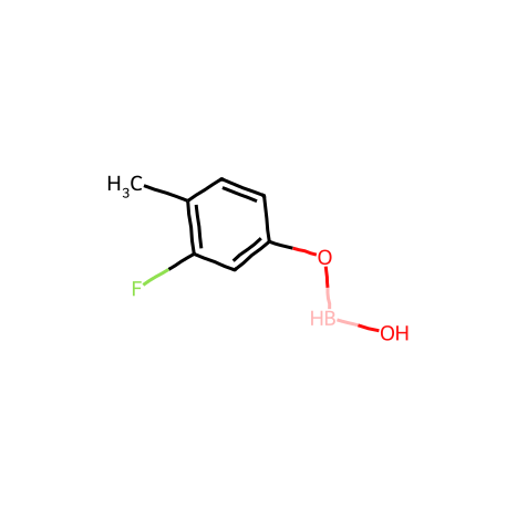 Cc1ccc(OBO)cc1F